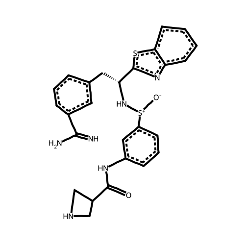 N=C(N)c1cccc(C[C@@H](N[S+]([O-])c2cccc(NC(=O)C3CNC3)c2)c2nc3ccccc3s2)c1